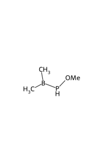 COPB(C)C